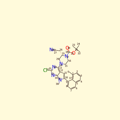 Cc1cccc2cccc(-c3cc4c(N5CCN(C(=O)OC(C)(C)C)[C@@H](CC#N)C5)nc(Cl)nc4n3C)c12